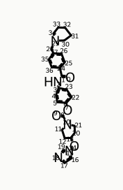 O=C(Nc1ccc(OC(=O)N2CCC(On3ccnc3)CC2)cc1)c1ccc(CN2CCCCC2)cc1